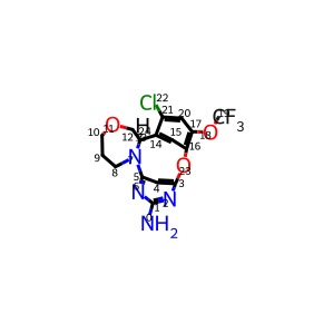 Nc1nc2cc(n1)N1CCCOC[C@H]1c1cc(c(OC(F)(F)F)cc1Cl)O2